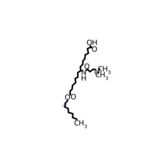 CCCCCC/C=C\COC(=O)CCCCCCCC(CCCCCCCC(=O)O)NC(=O)CCN(C)C